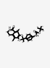 Cc1c2c(c(C)c3c1OC(C)(C14CCC(NC(=O)OC(C)(C)C)(CC1)CC4)O3)C(=O)NCC2